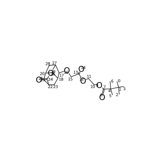 CC(C)(C)C(C)(C)C(=O)OCCOC(=O)COC1C2CC3CC(C2)C(=O)OC1C3